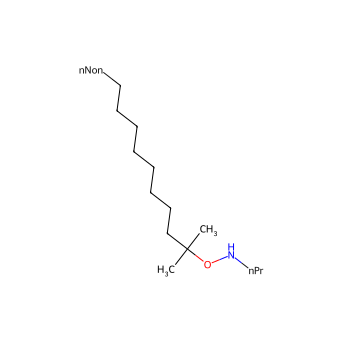 CCCCCCCCCCCCCCCCCC(C)(C)ONCCC